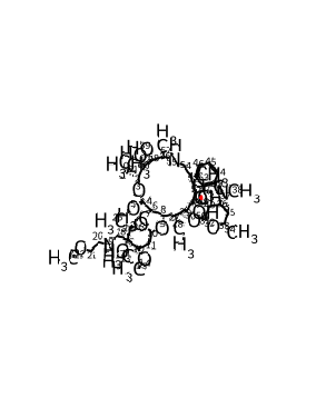 CC[C@H]1OC(=O)[C@H](C)[C@@H](O[C@H]2C[C@@](C)(OC)[C@](O)(CNCCOC)[C@H](C)O2)[C@H](C)[C@@H](O[C@@H]2O[C@H](C)C[C@H](N(C)C)[C@H]2Oc2ccccc2)[C@](C)(O)C[C@@H](C)CN[C@H](C)[C@@H](O)[C@]1(C)O